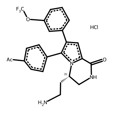 CC(=O)c1ccc(-c2c(-c3cccc(OC(F)(F)F)c3)cc3n2[C@@H](CCN)CNC3=O)cc1.Cl